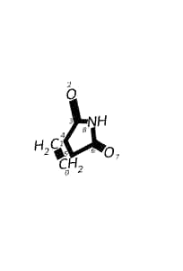 C=C.O=C1CCC(=O)N1